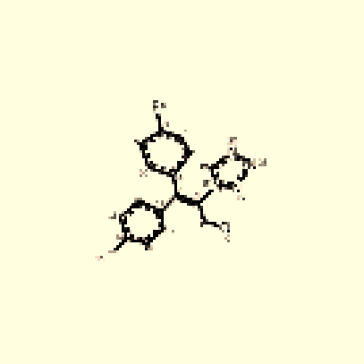 OCC(=C(c1ccc(F)cc1)c1ccc(F)cc1)n1cnnn1